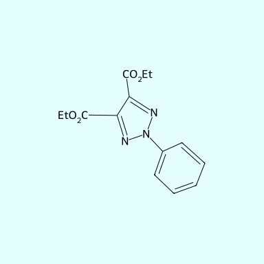 CCOC(=O)c1nn(-c2ccccc2)nc1C(=O)OCC